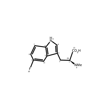 CN[C@@H](Cc1c[nH]c2ccc(F)cc12)C(=O)O